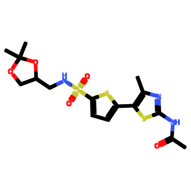 CC(=O)Nc1nc(C)c(-c2ccc(S(=O)(=O)NCC3COC(C)(C)O3)s2)s1